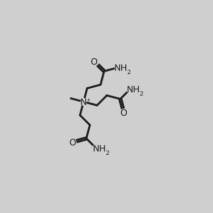 C[N+](CCC(N)=O)(CCC(N)=O)CCC(N)=O